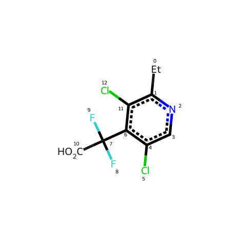 CCc1ncc(Cl)c(C(F)(F)C(=O)O)c1Cl